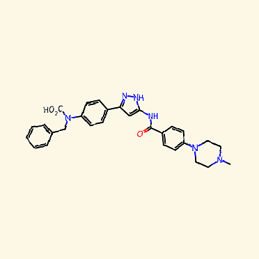 CN1CCN(c2ccc(C(=O)Nc3cc(-c4ccc(N(Cc5ccccc5)C(=O)O)cc4)n[nH]3)cc2)CC1